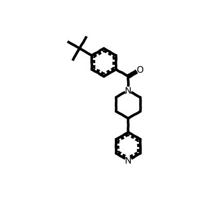 CC(C)(C)c1ccc(C(=O)N2CCC(c3ccncc3)CC2)cc1